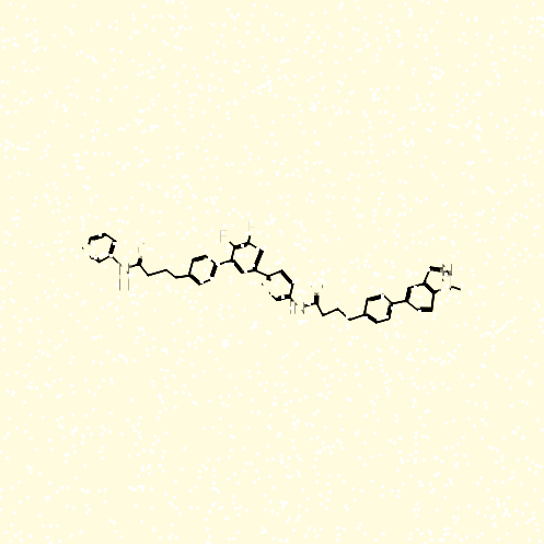 Cn1ncc2cc(-c3ccc(CCCC(=O)Nc4ccc(-c5cc(F)c(F)c(-c6ccc(CCCC(=O)Nc7cccnc7)cc6)c5)nc4)cc3)ccc21